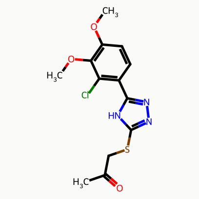 COc1ccc(-c2nnc(SCC(C)=O)[nH]2)c(Cl)c1OC